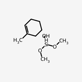 CC1=CCCCC1.CO[SiH](O)OC